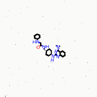 CN(C)c1nc(N[C@H]2CC[C@@H](CNC(=O)CNc3ccccc3)CC2)nc2ccccc12